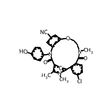 Cc1c2cc(n1C)-c1cc(Cl)ccc1C(=O)N(C)CCOc1cc(C#N)cc(c1)N(c1ccc(O)cc1)C2=O